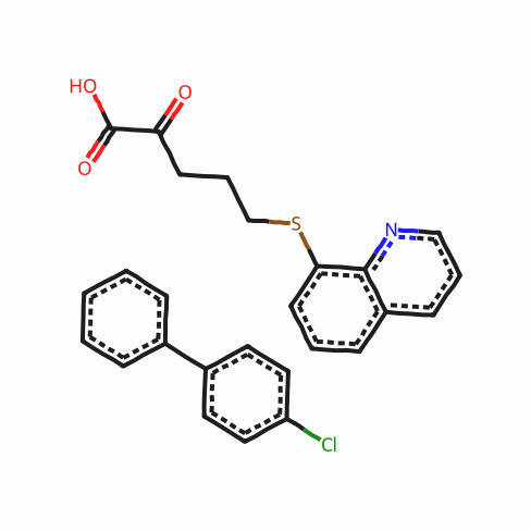 Clc1ccc(-c2ccccc2)cc1.O=C(O)C(=O)CCCSc1cccc2cccnc12